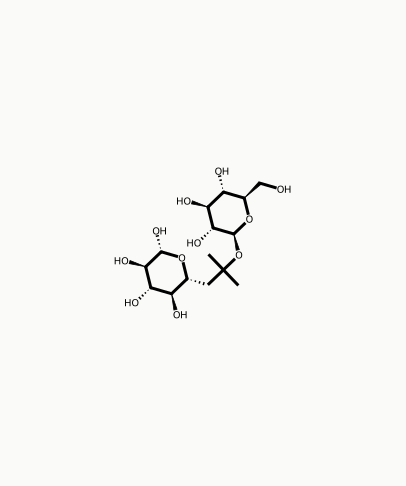 CC(C)(C[C@H]1O[C@@H](O)[C@H](O)[C@@H](O)[C@@H]1O)O[C@@H]1O[C@H](CO)[C@@H](O)[C@H](O)[C@H]1O